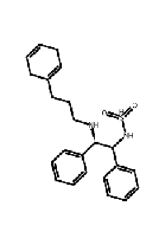 O=[SH](=O)NC(c1ccccc1)[C@H](NCCCC1=CCC=CC1)c1ccccc1